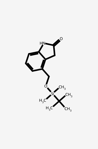 CC(C)(C)[Si](C)(C)OCc1cccc2c1CC(=O)N2